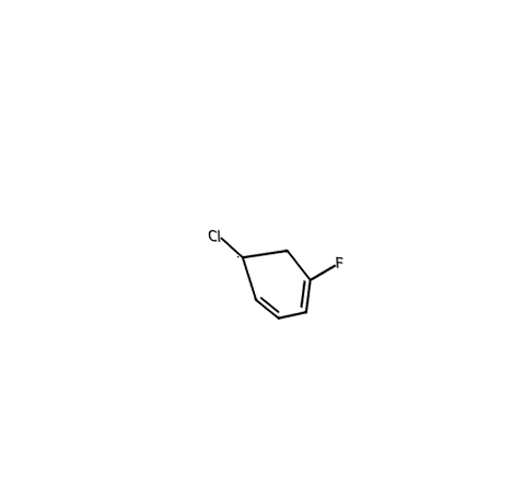 FC1=CC=C[C](Cl)C1